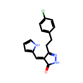 O=C1NN=C(CCc2ccc(Cl)cc2)C1=Cc1ccc[nH]1